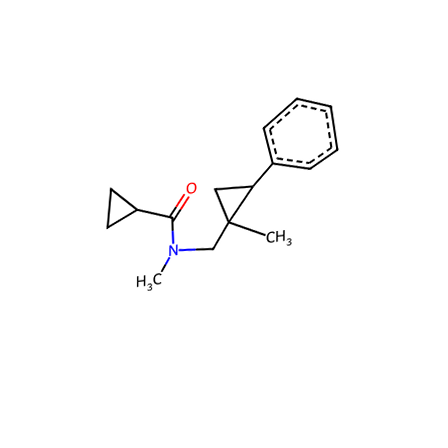 CN(CC1(C)CC1c1ccccc1)C(=O)C1CC1